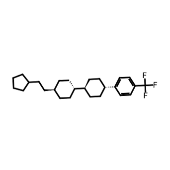 FC(F)(F)c1ccc([C@H]2CC[C@H]([C@H]3CC[C@H](CCC4CCCC4)CC3)CC2)cc1